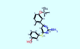 Cc1ccc(O[Si](C)(C)C(C)(C)C)cc1-c1cc(Sc2cccc(O)c2)nc(N)n1